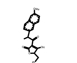 COc1ccc2cc(C(C)C(=O)C3=C(O)C(CC(C)C)OC3=O)ccc2c1